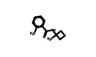 Cc1ccccc1C(=O)NC1(C)CSC1